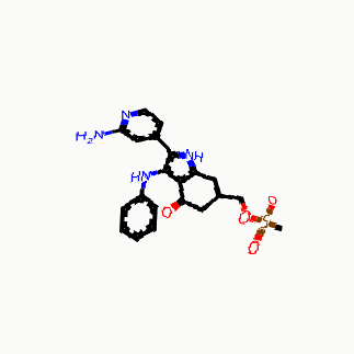 CS(=O)(=O)OCC1CC(=O)c2c([nH]c(-c3ccnc(N)c3)c2Nc2ccccc2)C1